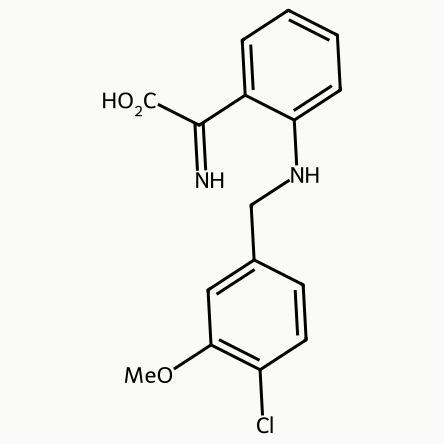 COc1cc(CNc2ccccc2C(=N)C(=O)O)ccc1Cl